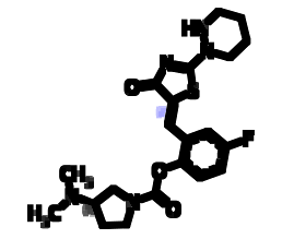 CN(C)[C@@H]1CCN(C(=O)Oc2ccc(F)cc2/C=C2\SC(N3CCCCN3)=NC2=O)C1